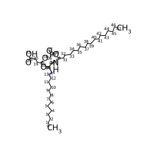 CCCCCCCCCCCCC/C=C/[C@@H](OC(=O)CCC(=O)O)[C@H](CP=O)NC(=O)CCCCCCCCCCCCCCCCC